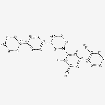 Cn1c(N2CCO[C@@H](c3ccc(N4CCOCC4)cc3)C2)nc(-c2ccncc2F)cc1=O